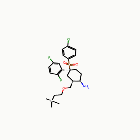 C[Si](C)(C)CCOC[C@H]1C[C@@](c2cc(F)ccc2F)(S(=O)(=O)c2ccc(Cl)cc2)CC[C@H]1N